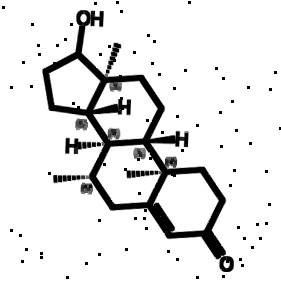 C[C@H]1CC2=CC(=O)CC[C@]2(C)[C@H]2CC[C@]3(C)C(O)CC[C@H]3[C@H]12